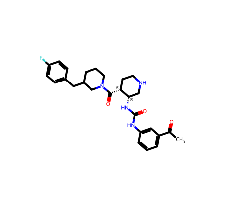 CC(=O)c1cccc(NC(=O)N[C@H]2CNCC[C@H]2C(=O)N2CCCC(Cc3ccc(F)cc3)C2)c1